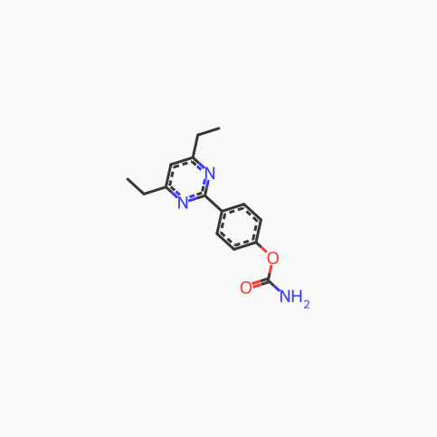 CCc1cc(CC)nc(-c2ccc(OC(N)=O)cc2)n1